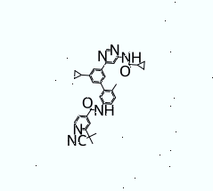 Cc1ccc(NC(=O)c2ccnc(C(C)(C)C#N)c2)cc1-c1cc(-c2cc(NC(=O)C3CC3)ncn2)cc(C2CC2)c1